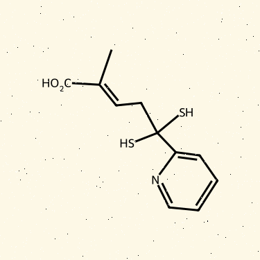 CC(=CCC(S)(S)c1ccccn1)C(=O)O